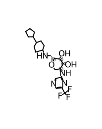 O[C@@H]1[C@H](O)[C@@H](Nc2cncc(C(F)(F)F)n2)CO[C@@H]1CNC1CCC(C2CCCC2)CC1